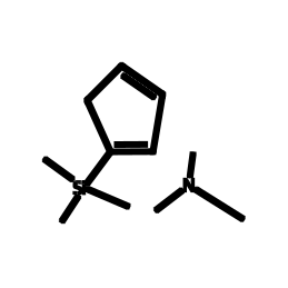 CN(C)C.C[Si](C)(C)C1=CC=CC1